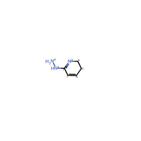 NNC1=NCCC=C1